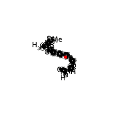 CCOc1cc([C@@H](CS(C)(=O)=O)N2C(=O)c3ccc(N4CCC(C5CCN(Cc6ccc(Oc7ccc(NC8CCC(=O)NC8=O)cc7)cc6)CC5)CC4)cc3C2=O)ccc1OC